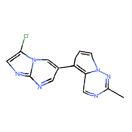 Cc1ncc2c(-c3cnc4ncc(Cl)n4c3)ccn2n1